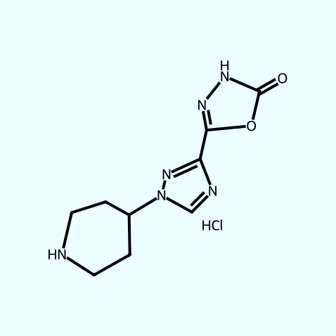 Cl.O=c1[nH]nc(-c2ncn(C3CCNCC3)n2)o1